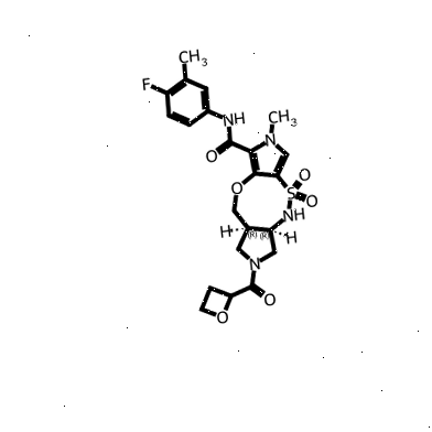 Cc1cc(NC(=O)c2c3c(cn2C)S(=O)(=O)N[C@H]2CN(C(=O)C4CCO4)C[C@H]2CO3)ccc1F